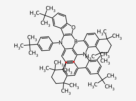 Cc1cc2c3c(c1)N(c1ccc(C(C)(C)C)cc1)c1c(oc4ccc(C(C)(C)C)cc14)B3c1ccc3c(c1N2c1c(C)cc(C(C)(C)C)cc1-c1ccc2c(c1)C(C)(C)CCC2(C)C)C(C)(C)CCC3(C)C